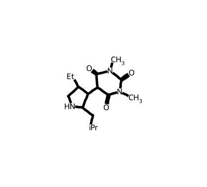 CCC1CNC(CC(C)C)C1C1C(=O)N(C)C(=O)N(C)C1=O